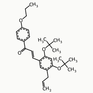 C=CCc1cc(C=CC(=O)c2ccc(OCCC)cc2)c(OC(C)(C)C)cc1OC(C)(C)C